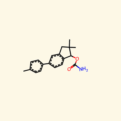 Cc1ccc(-c2ccc3c(c2)CC(C)(C)C3OC(N)=O)cc1